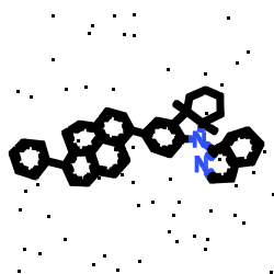 CC12CCCCC1(C)N(c1nccc3ccccc13)c1ccc(-c3ccc4ccc5c(-c6ccccc6)ccc6ccc3c4c65)cc12